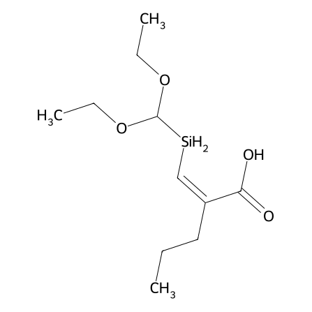 CCCC(=C[SiH2]C(OCC)OCC)C(=O)O